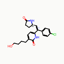 O=C1CC[C@H](/C=C(/c2ccc(Cl)cc2)c2ccc(CCCCO)c(=O)[nH]2)N1